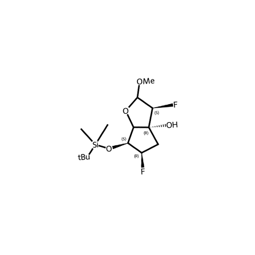 COC1OC2[C@H](O[Si](C)(C)C(C)(C)C)[C@H](F)C[C@]2(O)[C@@H]1F